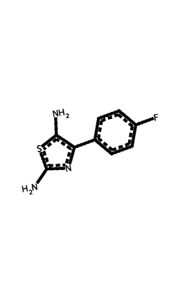 Nc1nc(-c2ccc(F)cc2)c(N)s1